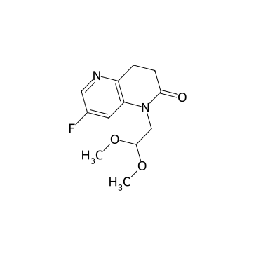 COC(CN1C(=O)CCc2ncc(F)cc21)OC